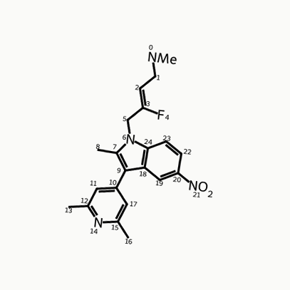 CNC/C=C(\F)Cn1c(C)c(-c2cc(C)nc(C)c2)c2cc([N+](=O)[O-])ccc21